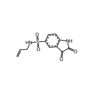 C=CCNS(=O)(=O)c1ccc2c(c1)C(=O)C(=O)N2